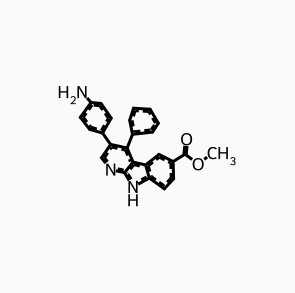 COC(=O)c1ccc2[nH]c3ncc(-c4ccc(N)cc4)c(-c4ccccc4)c3c2c1